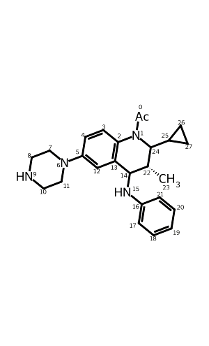 CC(=O)N1c2ccc(N3CCNCC3)cc2C(Nc2ccccc2)[C@@H](C)C1C1CC1